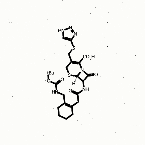 CC(C)(C)OC(=O)NCC1=C(CC(=O)NC2C(=O)N3C(C(=O)O)=C(CSc4c[nH]nn4)CS[C@H]23)CCCC1